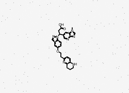 Cn1cnc2ncc(C(CC(=O)O)n3ncc4cc(OCCc5ccc6c(n5)CCCN6)ccc43)cc21